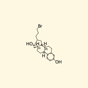 C[C@]12CC[C@@H]3c4ccc(O)cc4CC[C@H]3[C@@H]1CC(CCCBr)[C@H]2O